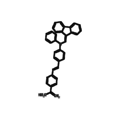 C=C(C(=O)O)c1ccc(C=Cc2ccc(N(C=C3c4ccccc4-c4ccccc43)c3ccccc3)cc2)cc1